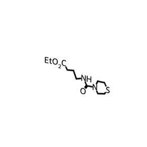 CCOC(=O)CCCNC(=O)N1CCSCC1